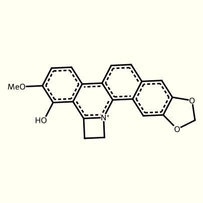 COc1ccc2c(c1O)c1[n+](c3c4cc5c(cc4ccc23)OCO5)CC1